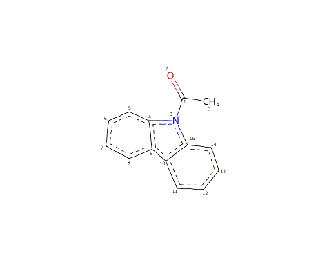 CC(=O)n1c2cc[c]cc2c2ccccc21